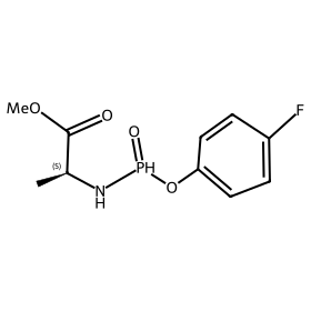 COC(=O)[C@H](C)N[PH](=O)Oc1ccc(F)cc1